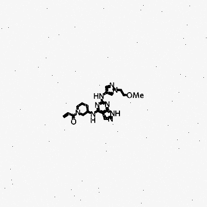 C=CC(=O)N1CCCC(Nc2nc(Nc3cnn(CCOC)c3)nc3[nH]ncc23)C1